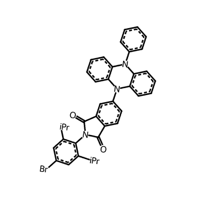 CC(C)c1cc(Br)cc(C(C)C)c1N1C(=O)c2ccc(N3c4ccccc4N(c4ccccc4)c4ccccc43)cc2C1=O